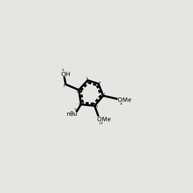 CCCCc1c(CO)ccc(OC)c1OC